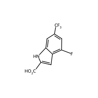 O=C(O)c1cc2c(F)cc(C(F)(F)F)cc2[nH]1